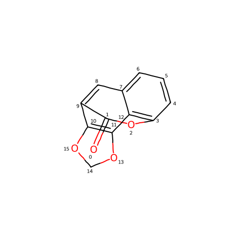 O=C1Oc2cccc3cc1c1c(c23)OCO1